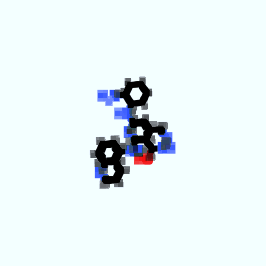 NC1CCCCC1Nc1cc2c(c(Nc3cccc4ncccc34)n1)C(O)NN=C2